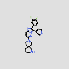 Fc1ccc(-c2nc3ccc(N4CCC5(CCCNC5)CC4)nn3c2-c2ccncc2)cc1F